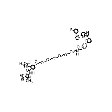 CC(=O)Nc1cc(NCCOCCOCCOCCOCCOCCOCCNC(=O)CN2CCN(c3cccc(-c4cnc5ccc(N6CCC[C@@H]6c6cccc(F)c6)nn45)n3)CC2)ccc1C(=O)Nc1nc(C)c([N+](=O)[O-])s1